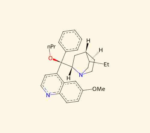 CCCO[C@](c1ccccc1)(c1ccnc2ccc(OC)cc12)[C@@H]1C[C@@H]2CCN1C[C@@H]2CC